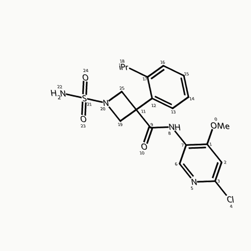 COc1cc(Cl)ncc1NC(=O)C1(c2ccccc2C(C)C)CN(S(N)(=O)=O)C1